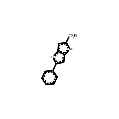 CCOC(=O)c1cc2oc(-c3ccccc3)cc2[nH]1